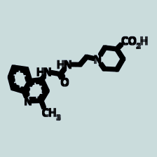 Cc1cc(NC(=O)NCCN2CCCC(C(=O)O)C2)c2ccccc2n1